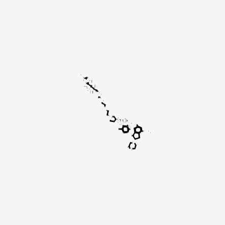 [2H]c1c([2H])c(S(=O)(=O)N[C@H]2CCN(CCOCCNC(=O)NC([2H])([2H])C([2H])([2H])C([2H])([2H])C([2H])([2H])NC(N)=O)C2)c([2H])c([2H])c1O[C@H]1c2cc(Cl)cc(C#N)c2C[C@@H]1N1CCN[C@H](C)C1